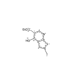 CCOC(=O)c1cnc2sc(I)cc2c1O